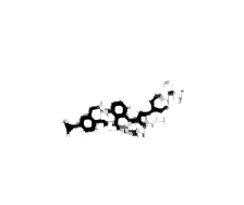 CN(C)C(=O)N1CC=C(c2cc3c(-c4cccc(N5CCc6cc(C7CC7)ccc6C5=O)c4CO)ncnc3[nH]2)CC1